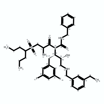 CCCC(CCC)S(=O)(=O)CC(N)C(=O)N(C(=O)NCc1ccccc1)[C@@H](Cc1cc(F)cc(F)c1)[C@H](O)CNCc1cccc(CC)c1